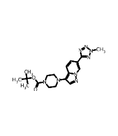 Cn1nnc(-c2ccc3c(N4CCN(C(=O)OC(C)(C)C)CC4)cnn3c2)n1